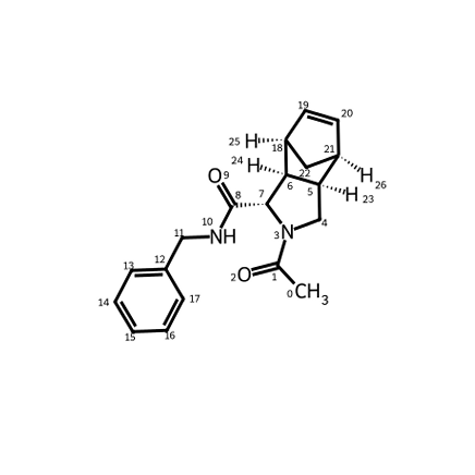 CC(=O)N1C[C@H]2[C@@H]([C@H]1C(=O)NCc1ccccc1)[C@H]1C=C[C@@H]2C1